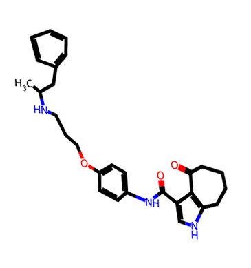 CC(Cc1ccccc1)NCCCOc1ccc(NC(=O)c2c[nH]c3c2C(=O)CCCC3)cc1